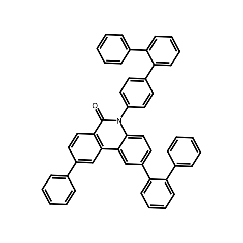 O=c1c2ccc(-c3ccccc3)cc2c2cc(-c3ccccc3-c3ccccc3)ccc2n1-c1ccc(-c2ccccc2-c2ccccc2)cc1